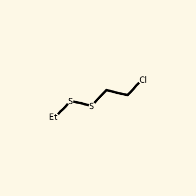 CCSSCCCl